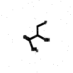 NC(=O)C(O)CF